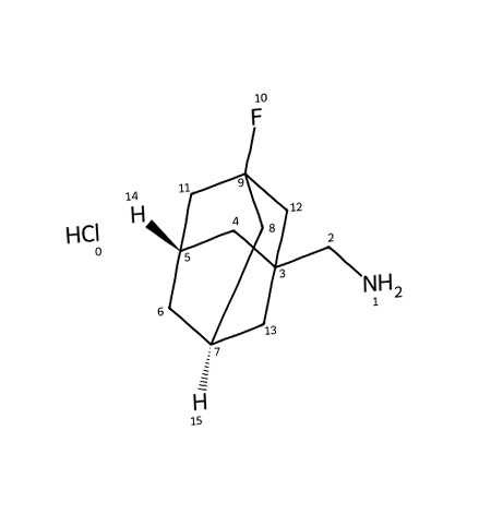 Cl.NCC12C[C@@H]3C[C@@H](CC(F)(C3)C1)C2